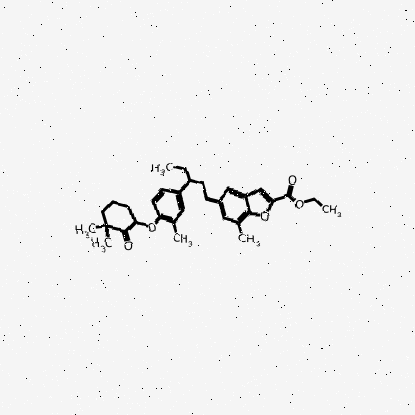 CCOC(=O)c1cc2cc(CCC(CC)c3ccc(OC4CCCC(C)(C)C4=O)c(C)c3)cc(C)c2o1